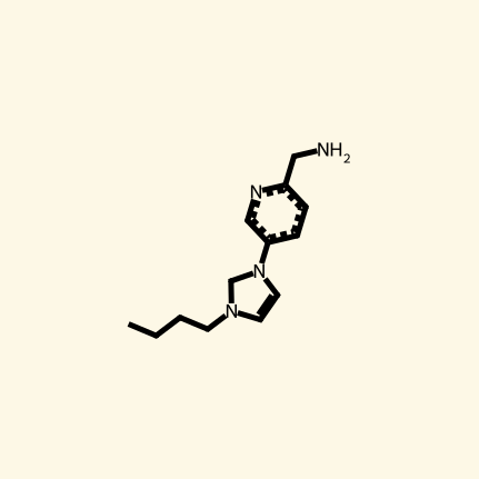 CCCCN1C=CN(c2ccc(CN)nc2)C1